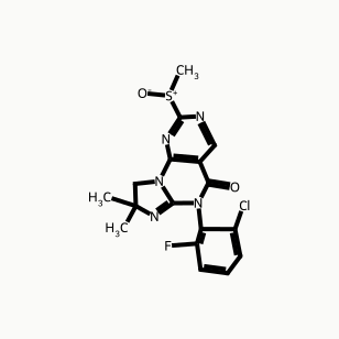 C[S+]([O-])c1ncc2c(n1)N1CC(C)(C)N=C1N(c1c(F)cccc1Cl)C2=O